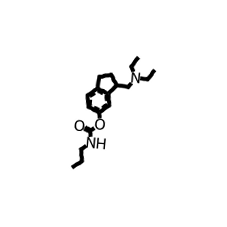 CCCNC(=O)Oc1ccc2c(c1)C(CN(CC)CC)CC2